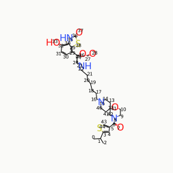 CC(C)c1cc(C(=O)N2CCOC3(CCN(CCCCCCCNC[C@H](OC=O)c4ccc(O)c5[nH]c(=O)sc45)CC3)C2)cs1